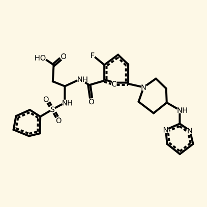 O=C(O)CC(NC(=O)c1cc(N2CCC(Nc3ncccn3)CC2)ccc1F)NS(=O)(=O)c1ccccc1